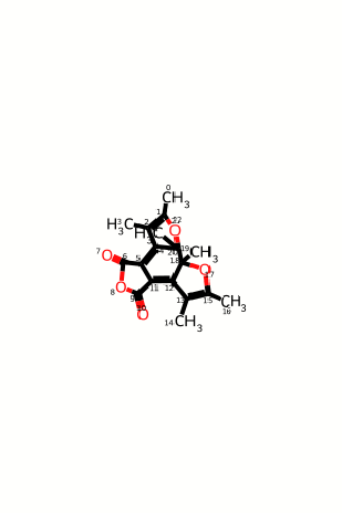 CC1=C(C)C2=C3C(=O)OC(=O)C3=C3C(C)=C(C)OC3(C)C2(C)O1